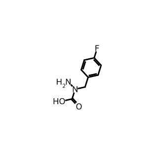 NN(Cc1ccc(F)cc1)C(=O)O